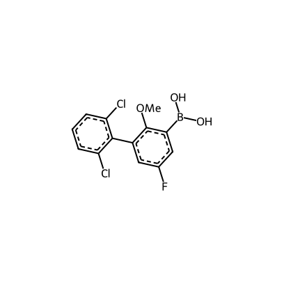 COc1c(B(O)O)cc(F)cc1-c1c(Cl)cccc1Cl